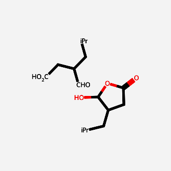 CC(C)CC(C=O)CC(=O)O.CC(C)CC1CC(=O)OC1O